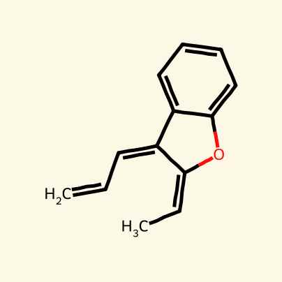 C=C/C=c1\c(=C/C)oc2ccccc12